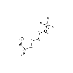 C=C([C]=O)CCCCO[Si](C)(C)C